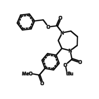 COC(=O)c1ccc(C2CN(C(=O)OCc3ccccc3)CCCN2C(=O)OC(C)(C)C)cc1